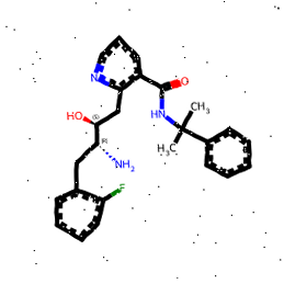 CC(C)(NC(=O)c1cccnc1C[C@H](O)[C@H](N)Cc1ccccc1F)c1ccccc1